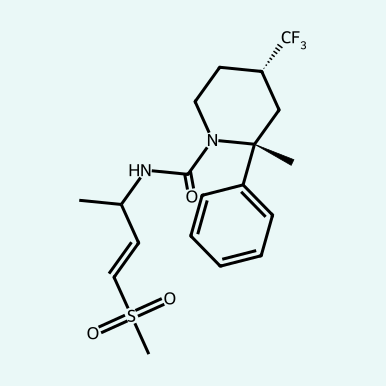 CC(/C=C/S(C)(=O)=O)NC(=O)N1CC[C@H](C(F)(F)F)C[C@]1(C)c1ccccc1